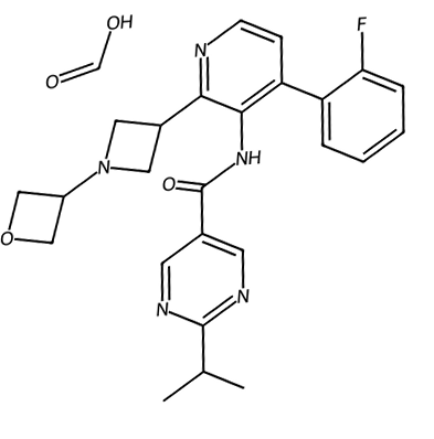 CC(C)c1ncc(C(=O)Nc2c(-c3ccccc3F)ccnc2C2CN(C3COC3)C2)cn1.O=CO